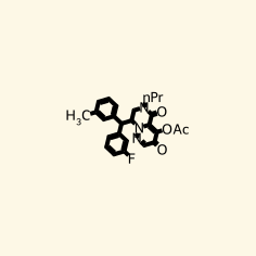 CCCN1CC(C(c2cccc(C)c2)c2cccc(F)c2)n2ncc(=O)c(OC(C)=O)c2C1=O